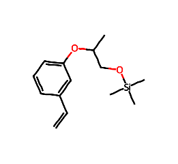 C=Cc1cccc(OC(C)CO[Si](C)(C)C)c1